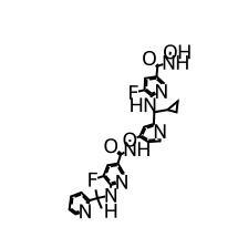 CC(C)(Nc1ncc(C(=O)NOc2ccnc([C@H](Nc3ncc(C(=O)NO)cc3F)C3CC3)c2)cc1F)c1ccccn1